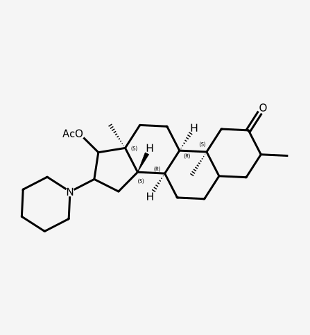 CC(=O)OC1C(N2CCCCC2)C[C@H]2[C@@H]3CCC4CC(C)C(=O)C[C@]4(C)[C@@H]3CC[C@]12C